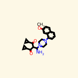 COc1ccc2cccc(N3CCN(C(N)C(C(=O)C4CC4)C(=O)C4CC4)CC3)c2c1